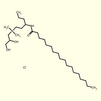 CCCCCCCCCCCCCCCCCC(=O)NC(CCC)CC[N+](C)(C)CC(O)CO.[Cl-]